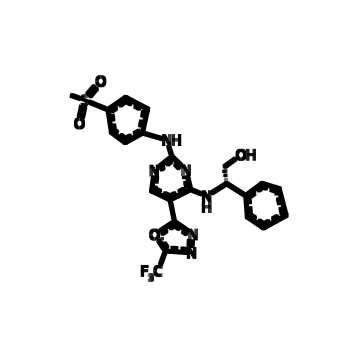 CS(=O)(=O)c1ccc(Nc2ncc(-c3nnc(C(F)(F)F)o3)c(N[C@H](CO)c3ccccc3)n2)cc1